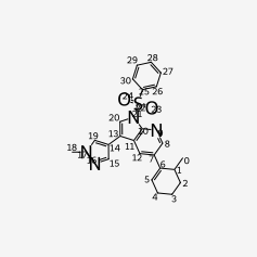 CC1CCCC=C1c1cnc2c(c1)c(-c1cnn(C)c1)cn2S(=O)(=O)c1ccccc1